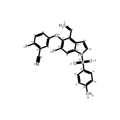 C=Cc1c(Oc2ccc(F)c(C#N)c2)c(F)cc2c1ccn2S(=O)(=O)c1ccc(C)cc1